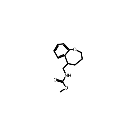 COC(=O)NCC1CCCOc2ccccc21